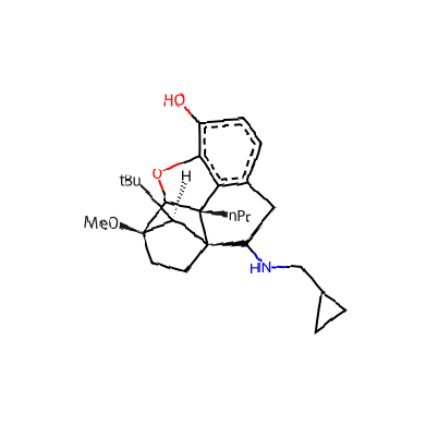 CCC[C@]12c3c4ccc(O)c3OC1[C@@]1(OC)CC[C@@]2(C[C@@H]1C(C)(C)C)C(NCC1CC1)C4